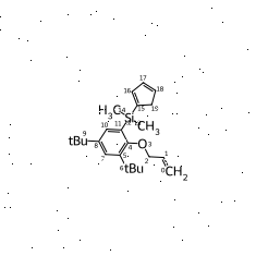 C=CCOc1c(C(C)(C)C)cc(C(C)(C)C)cc1[Si](C)(C)C1=CC=CC1